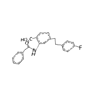 O=C(Nc1cc(CCc2ccc(F)cc2)ccc1C(=O)O)c1ccccc1